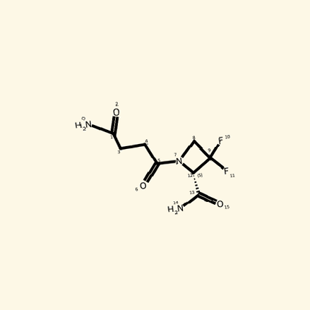 NC(=O)C[CH]C(=O)N1CC(F)(F)[C@@H]1C(N)=O